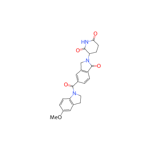 COc1ccc2c(c1)CCN2C(=O)c1ccc2c(c1)CN(C1CCC(=O)NC1=O)C2=O